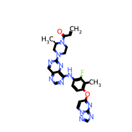 C=CC(=O)N1CCN(c2ncc3ncnc(Nc4ccc(Oc5ccn6ncnc6n5)c(C)c4F)c3n2)C[C@H]1C